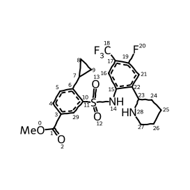 COC(=O)c1ccc(C2CC2)c(S(=O)(=O)Nc2cc(C(F)(F)F)c(F)cc2C2CCCCN2)c1